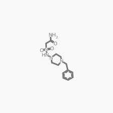 NC(=O)CS(=O)(=O)NN1CCN(Cc2ccccc2)CC1